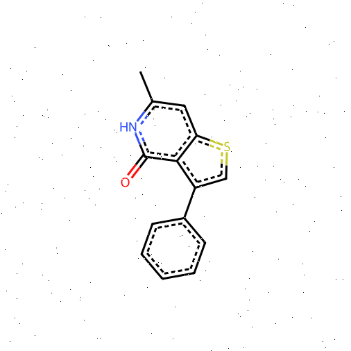 Cc1cc2scc(-c3ccccc3)c2c(=O)[nH]1